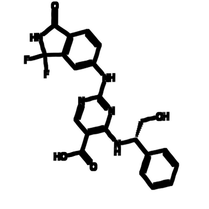 O=C1NC(F)(F)c2cc(Nc3ncc(C(=O)O)c(N[C@H](CO)c4ccccc4)n3)ccc21